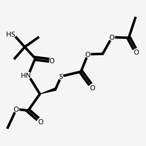 COC(=O)[C@H](CSC(=O)OCOC(C)=O)NC(=O)C(C)(C)S